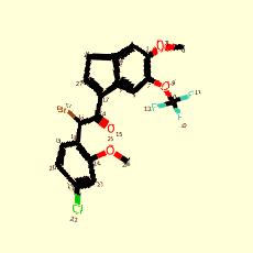 COc1cc2c(cc1OC(F)(F)F)C(C(=O)C(Br)c1ccc(Cl)cc1OC)=CC2